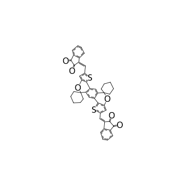 O=C1C(=O)c2ccccc2/C1=C/c1cc2c(s1)-c1cc3c(cc1C1(CCCCC1)O2)-c1sc(/C=C2\C(=O)C(=O)c4ccccc42)cc1OC31CCCCC1